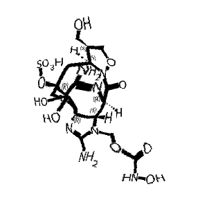 NC1=N[C@@]23[C@H]([C@H]4N=C(N)N2C[C@](OS(=O)(=O)O)(C[C@H]2[C@@H](CO)CON2C4=O)C3(O)O)N1COC(=O)NO